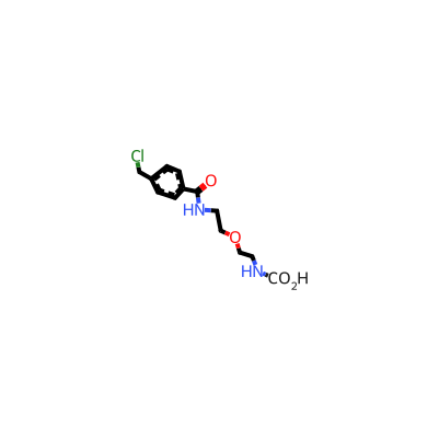 O=C(O)NCCOCCNC(=O)c1ccc(CCl)cc1